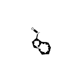 O=[S+]c1ccn2ccccc12